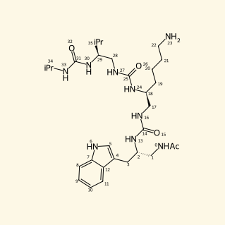 CC(=O)NC[C@H](Cc1c[nH]c2ccccc12)NC(=O)NC[C@H](CCCCN)NC(=O)NC[C@@H](NC(=O)NC(C)C)C(C)C